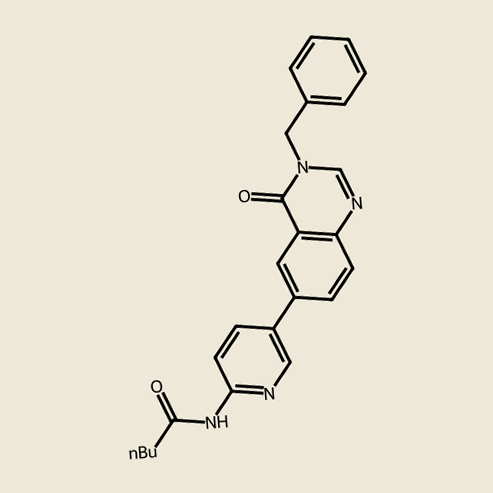 CCCCC(=O)Nc1ccc(-c2ccc3ncn(Cc4ccccc4)c(=O)c3c2)cn1